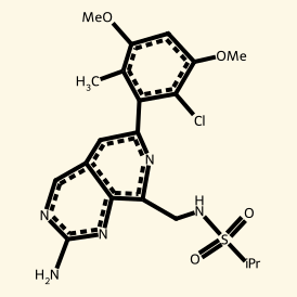 COc1cc(OC)c(Cl)c(-c2cc3cnc(N)nc3c(CNS(=O)(=O)C(C)C)n2)c1C